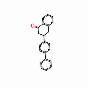 O=C1CC(c2ccc(-c3ccccc3)cc2)Cc2ccccc21